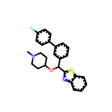 CN1CCC(OC(c2cccc(-c3ccc(F)cc3)c2)c2nc3ccccc3s2)CC1